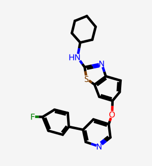 Fc1ccc(-c2cncc(Oc3ccc4nc(NC5CCCCC5)sc4c3)c2)cc1